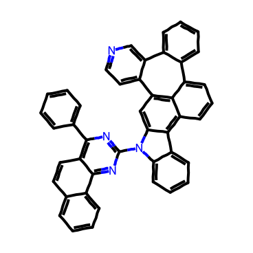 c1ccc(-c2nc(-n3c4ccccc4c4c5cccc6c5c(cc43)-c3ccncc3-c3ccccc3-6)nc3c2ccc2ccccc23)cc1